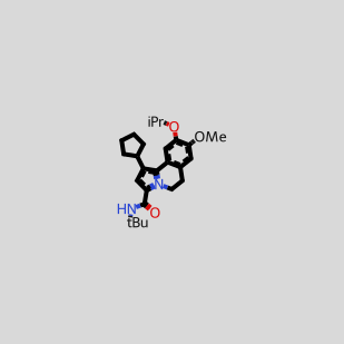 COc1cc2c(cc1OC(C)C)-c1c(C3CCCC3)cc(C(=O)NC(C)(C)C)n1CC2